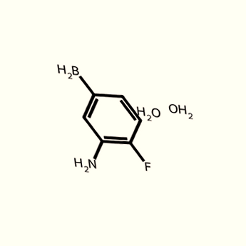 Bc1ccc(F)c(N)c1.O.O